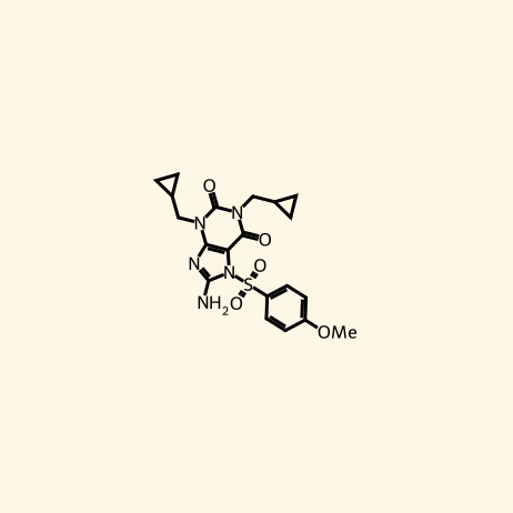 COc1ccc(S(=O)(=O)n2c(N)nc3c2c(=O)n(CC2CC2)c(=O)n3CC2CC2)cc1